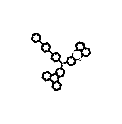 c1ccc(-c2ccc(-c3ccc(N(c4ccc5c(c4)Oc4cccc6cccc(c46)O5)c4ccc5c6ccccc6c6ccccc6c5c4)cc3)cc2)cc1